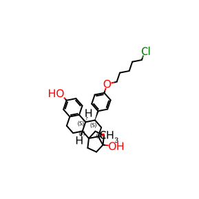 C[C@]12C[C@H](c3ccc(OCCCCCCl)cc3)[C@@H]3c4ccc(O)cc4CC[C@H]3C13CCC2(O)CC3